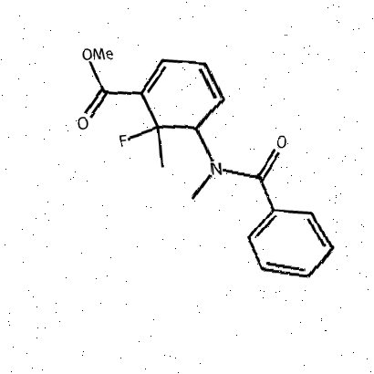 COC(=O)C1=CC=CC(N(C)C(=O)c2ccccc2)C1(C)F